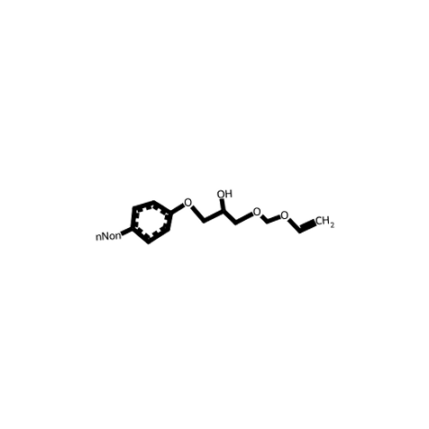 C=COCOCC(O)COc1ccc(CCCCCCCCC)cc1